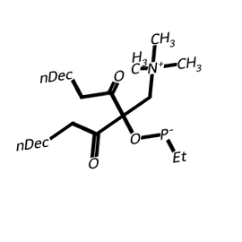 CCCCCCCCCCCC(=O)C(C[N+](C)(C)C)(O[P-]CC)C(=O)CCCCCCCCCCC